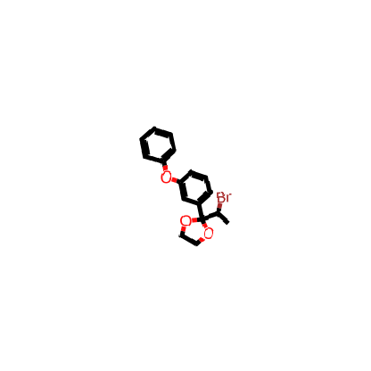 CC(Br)C1(c2cccc(Oc3ccccc3)c2)OCCO1